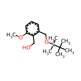 COc1cccc(CO[Si](C)(C)C(C)(C)C)c1CO